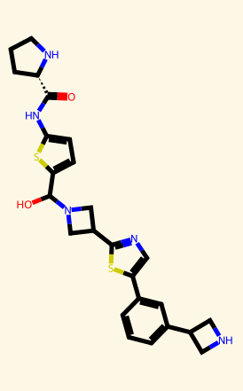 O=C(Nc1ccc(C(O)N2CC(c3ncc(-c4cccc(C5CNC5)c4)s3)C2)s1)[C@@H]1CCCN1